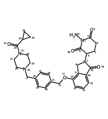 NN1C(=O)CCC(N2Cc3c(OCc4ccc(CN5CCN(C(=O)C6CC6)CC5)cc4)cccc3C2=O)C1=O